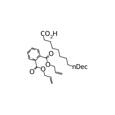 C=CCOC(=O)c1ccccc1C(=O)OCC=C.CCCCCCCCCCCCCCCCCC(=O)O